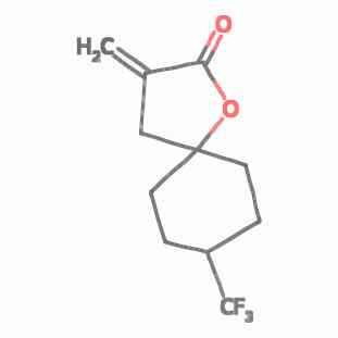 C=C1CC2(CCC(C(F)(F)F)CC2)OC1=O